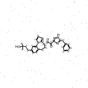 CC(C)(O)CCc1ccc2c(c1)-n1ccnc1[C@H](NC(=O)c1n[nH]c(Cc3ccccc3)n1)CC2